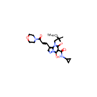 COC(C)(C)Cn1c(=O)c(C(=O)NC2CC2)c(O)n2ncc(/C=C/C(=O)N3CCOCC3)c12